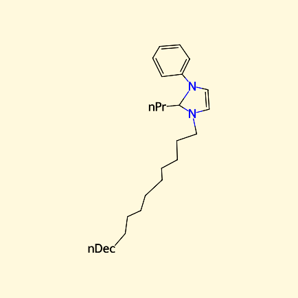 CCCCCCCCCCCCCCCCCCCN1C=CN(c2ccccc2)C1CCC